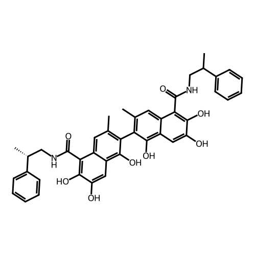 Cc1cc2c(C(=O)NCC(C)c3ccccc3)c(O)c(O)cc2c(O)c1-c1c(C)cc2c(C(=O)NC[C@@H](C)c3ccccc3)c(O)c(O)cc2c1O